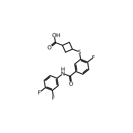 O=C(Nc1ccc(F)c(F)c1)c1ccc(F)c(SC2CC(C(=O)O)C2)c1